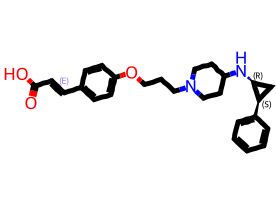 O=C(O)/C=C/c1ccc(OCCCN2CCC(N[C@@H]3C[C@H]3c3ccccc3)CC2)cc1